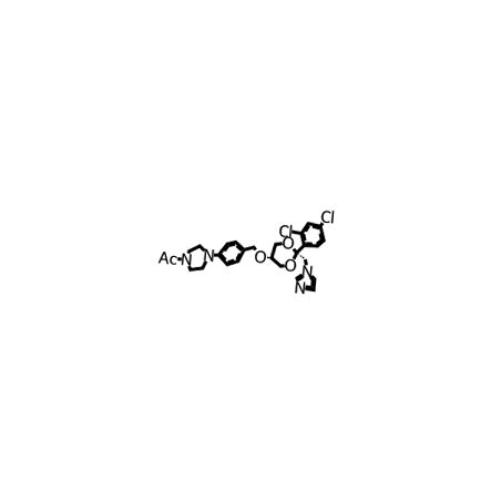 CC(=O)N1CCN(c2ccc(CO[C@H]3CO[C@](Cn4ccnc4)(c4ccc(Cl)cc4Cl)OC3)cc2)CC1